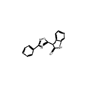 O=C1Nc2ccccc2C1c1nc(-c2ccccc2)no1